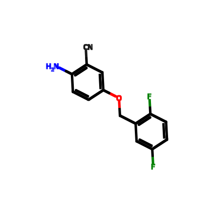 N#Cc1cc(OCc2cc(F)ccc2F)ccc1N